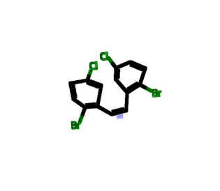 Clc1ccc(Br)c(/C=C\c2cc(Cl)ccc2Br)c1